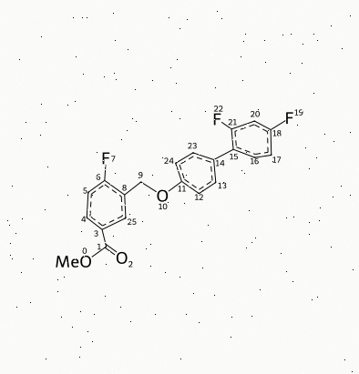 COC(=O)c1ccc(F)c(COc2ccc(-c3ccc(F)cc3F)cc2)c1